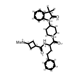 CNC1CC(C(=O)NC(CCc2ccccc2)C(=O)N2CCC(N3C(=O)C(C)(C)c4ccccc43)CC2)C1